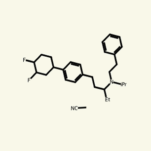 CC#N.CCC(CCc1ccc(C2CCC(F)C(F)C2)cc1)N(CCc1ccccc1)C(C)C